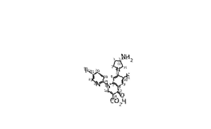 N[C@H]1CCN(c2cc3c(cc2F)c(=O)c(C(=O)O)cn3-c2ccc(F)cn2)C1